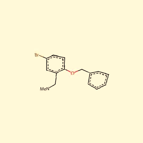 CNCc1cc(Br)ccc1OCc1ccccc1